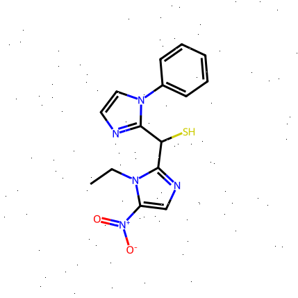 CCn1c([N+](=O)[O-])cnc1C(S)c1nccn1-c1ccccc1